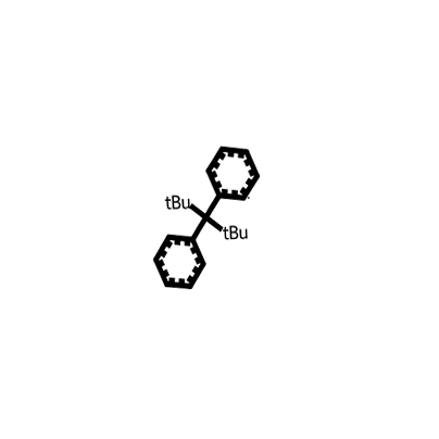 CC(C)(C)C(c1[c]cccc1)(c1ccccc1)C(C)(C)C